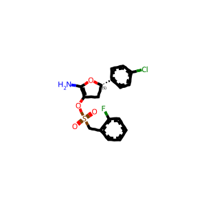 NC1=C(OS(=O)(=O)Cc2ccccc2F)C[C@@H](c2ccc(Cl)cc2)O1